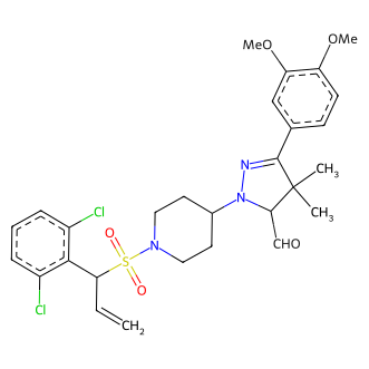 C=CC(c1c(Cl)cccc1Cl)S(=O)(=O)N1CCC(N2N=C(c3ccc(OC)c(OC)c3)C(C)(C)C2C=O)CC1